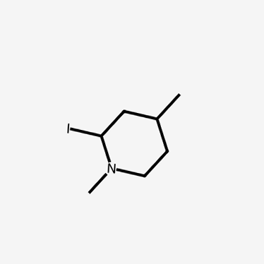 CC1CCN(C)C(I)C1